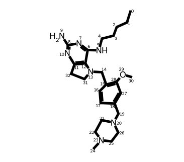 CCCCCNc1nc(N)nc2c1N(Cc1ccc(CN3CCN(C)CC3)cc1OC)CC2